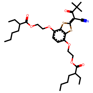 CCCCC(CC)C(=O)OCCOc1ccc(OCCOC(=O)C(CC)CCCC)c2c1SC(=C(C#N)C(=O)C(C)(C)C)S2